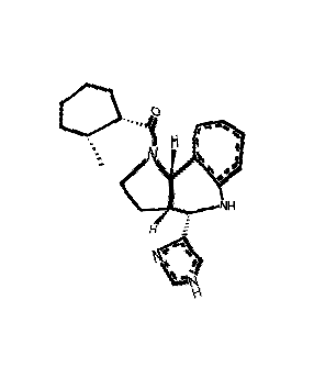 C[C@@H]1CCCC[C@@H]1C(=O)N1CC[C@H]2[C@@H](c3c[nH]cn3)Nc3ccccc3[C@H]21